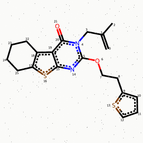 C=C(C)Cn1c(OCCc2cccs2)nc2sc3c(c2c1=O)CCCC3